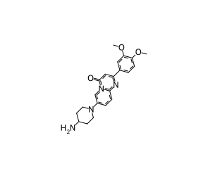 COc1ccc(-c2cc(=O)n3cc(N4CCC(N)CC4)ccc3n2)cc1OC